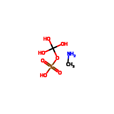 CN.O=S(=O)(O)OC(O)(O)O